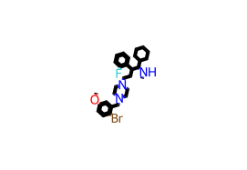 CNC(C1CCCCC1)C(CCN1CCN(Cc2cc(OC)ccc2Br)CC1)c1ccccc1F